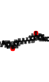 O=C(c1ccc(CCCCCCc2ccc(C(=O)c3ccc([N+](=O)[O-])cc3)cc2)cc1)c1ccc([N+](=O)[O-])cc1